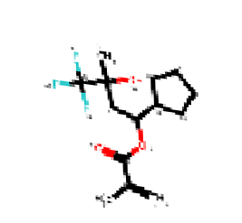 C=C(C)C(=O)OC(CC(C)(O)C(F)(F)F)C1CCCC1